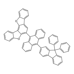 c1ccc(C2(c3ccccc3)c3ccccc3-c3ccc(-c4c5ccccc5c(-c5cc6c7ccccc7oc6c6c5oc5ccccc56)c5ccccc45)cc32)cc1